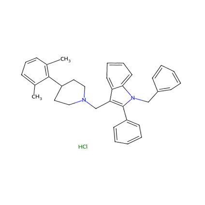 Cc1cccc(C)c1C1CCN(Cc2c(-c3ccccc3)n(Cc3ccccc3)c3ccccc23)CC1.Cl